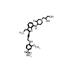 CCc1c(C#CCNc2ccc(S(N)(=O)=O)cc2OC)sc2c(NC3CCN(CC(O)CO)CC3F)cccc12